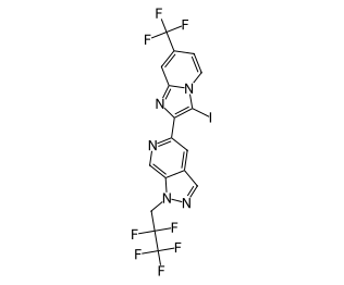 FC(F)(F)c1ccn2c(I)c(-c3cc4cnn(CC(F)(F)C(F)(F)F)c4cn3)nc2c1